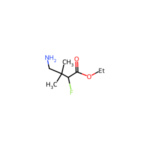 CCOC(=O)C(F)C(C)(C)CN